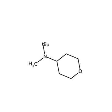 CN(C1CCOCC1)C(C)(C)C